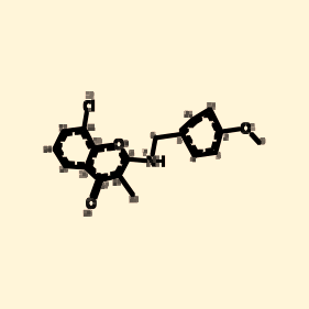 COc1ccc(CNc2oc3c(Cl)cccc3c(=O)c2C)cc1